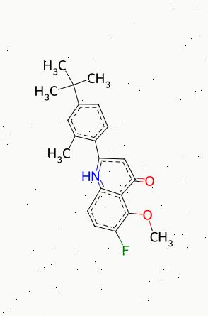 COc1c(F)ccc2[nH]c(-c3ccc(C(C)(C)C)cc3C)cc(=O)c12